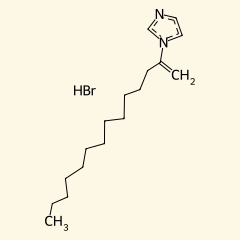 Br.C=C(CCCCCCCCCCCC)n1ccnc1